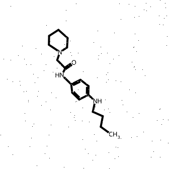 CCCCNc1ccc(NC(=O)CN2CCCCC2)cc1